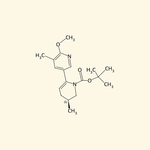 COc1ncc(C2=CC[C@H](C)CN2C(=O)OC(C)(C)C)cc1C